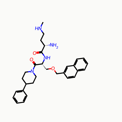 CNCC[C@H](N)C(=O)N[C@H](COCc1ccc2ccccc2c1)C(=O)N1CCC(c2ccccc2)CC1